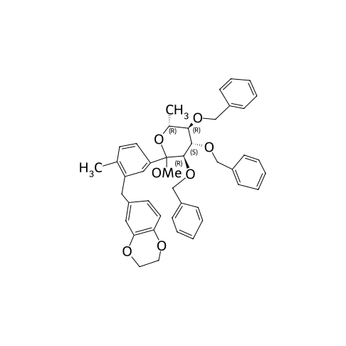 COC1(c2ccc(C)c(Cc3ccc4c(c3)OCCO4)c2)O[C@H](C)[C@@H](OCc2ccccc2)[C@H](OCc2ccccc2)[C@H]1OCc1ccccc1